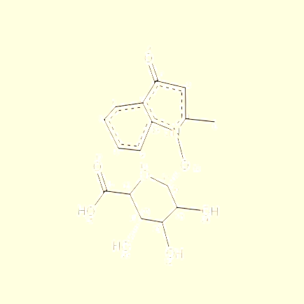 Cc1cc(=O)c2ccccc2n1O[C@H]1OC(C(=O)O)[C@@H](O)C(O)C1O